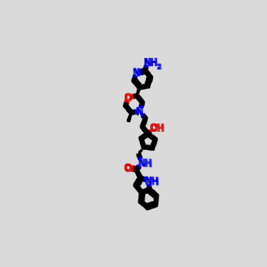 C[C@H]1CO[C@@H](c2ccc(N)nc2)CN1CC[C@]1(O)CC[C@H](CNC(=O)c2cc3ccccc3[nH]2)C1